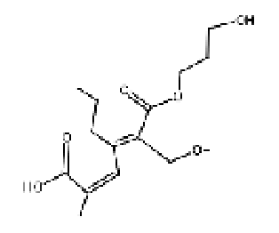 CCCC(C=C(C)C(=O)O)=C(CO)C(=O)OCCCO